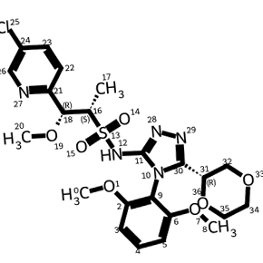 COc1cccc(OC)c1-n1c(NS(=O)(=O)[C@@H](C)[C@H](OC)c2ccc(Cl)cn2)nnc1[C@@H]1COCCO1